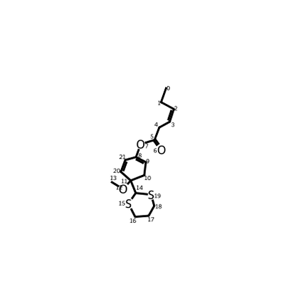 CC/C=C\CC(=O)OC1=CCC(OC)(C2SCCCS2)C=C1